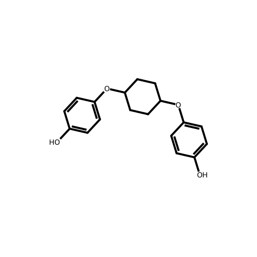 Oc1ccc(OC2CCC(Oc3ccc(O)cc3)CC2)cc1